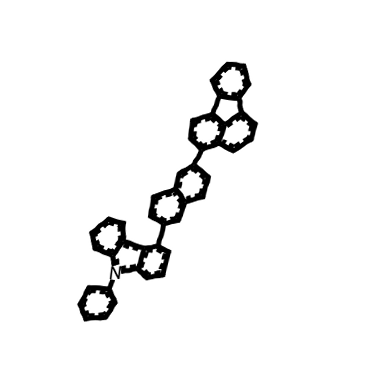 c1ccc(-n2c3ccccc3c3c(-c4ccc5cc(-c6ccc7c8c(cccc68)-c6ccccc6-7)ccc5c4)cccc32)cc1